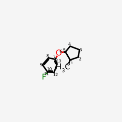 CC1CCCC1Oc1ccc(F)cc1